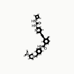 Cc1ccc(C(=O)Nc2ccc(CN3CC[C@H](N(C)C)C3)cc2)cc1C#Cc1ccc(NC(=O)NC2CCC2)nc1